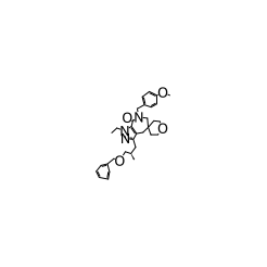 CCn1nc(C[C@@H](C)COCc2ccccc2)c2c1C(=O)N(Cc1ccc(OC)cc1)CC1(CCOCC1)C2